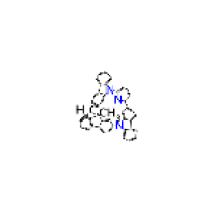 CC1(C)c2c#cccc2-c2ccc(-n3c4ccccc4c4ccc(-c5cccc(-n6c7ccccc7c7ccccc76)n5)cc43)cc21